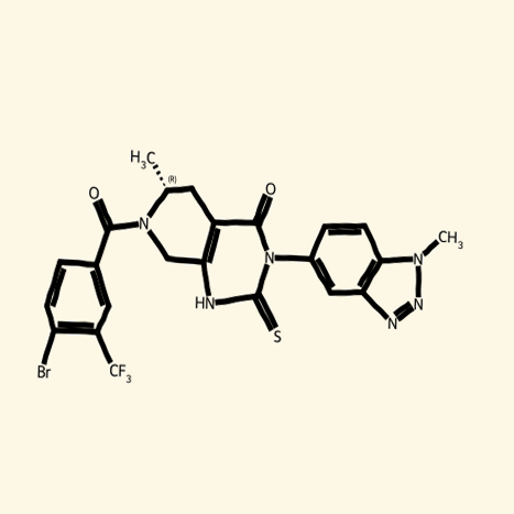 C[C@@H]1Cc2c([nH]c(=S)n(-c3ccc4c(c3)nnn4C)c2=O)CN1C(=O)c1ccc(Br)c(C(F)(F)F)c1